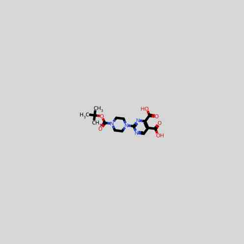 CC(C)(C)OC(=O)N1CCN(c2ncc(C(=O)O)c(C(=O)O)n2)CC1